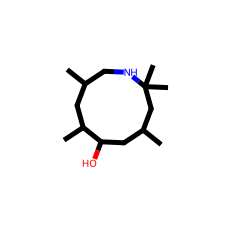 CC1CNC(C)(C)CC(C)CC(O)C(C)C1